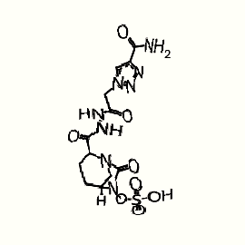 NC(=O)c1cn(CC(=O)NNC(=O)[C@@H]2CC[C@@H]3CN2C(=O)N3OS(=O)(=O)O)nn1